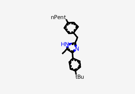 CCCCCc1ccc(Cc2nc(-c3ccc(C(C)(C)C)cc3)c(C)[nH]2)cc1